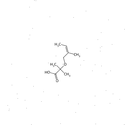 CC=C(C)COC(C)(C)C(=O)O